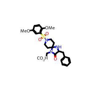 COc1ccc(OC)c(S(=O)(=O)N2CCC3(CC2)NC(Cc2ccccc2)C(=O)N3CC(=O)O)c1